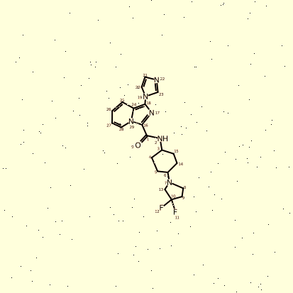 O=C(NC1CCC(N2CCC(F)(F)C2)CC1)c1nc(-n2ccnc2)c2ccccn12